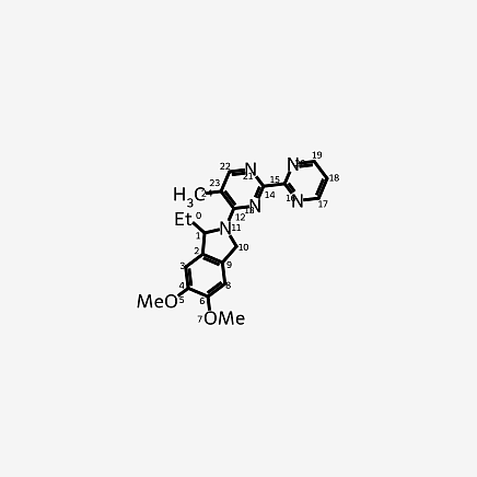 CCC1c2cc(OC)c(OC)cc2CN1c1nc(-c2ncccn2)ncc1C